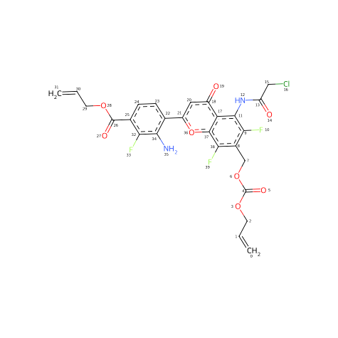 C=CCOC(=O)OCc1c(F)c(NC(=O)CCl)c2c(=O)cc(-c3ccc(C(=O)OCC=C)c(F)c3N)oc2c1F